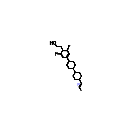 C/C=C/C1CCC(C2CCC(c3cc(F)c(CCO)c(F)c3)CC2)CC1